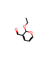 CCOC1OC=CC=C1C=O